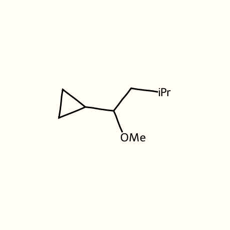 COC(CC(C)C)C1CC1